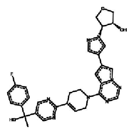 CC(O)(c1ccc(F)cc1)c1cnc(C2=CCN(c3ncnn4cc(-c5cnn([C@H]6COC[C@H]6O)c5)cc34)CC2)nc1